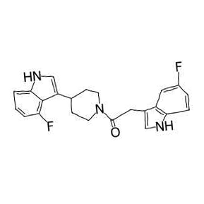 O=C(Cc1c[nH]c2ccc(F)cc12)N1CCC(c2c[nH]c3cccc(F)c23)CC1